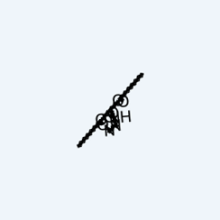 CCCCCCCCCCCCCC(=O)OCCCCC(CCCCOC(=O)CCCCCCCCCCCCC)OC(=O)NCCN(C)CCN(C)C